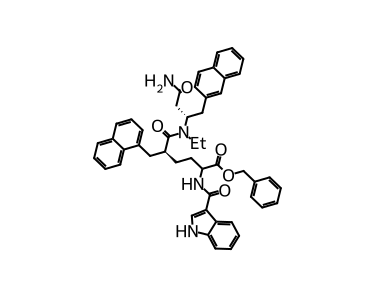 CCN(C(=O)[C@@H](CCC(NC(=O)c1c[nH]c2ccccc12)C(=O)OCc1ccccc1)Cc1cccc2ccccc12)[C@H](CC(N)=O)Cc1ccc2ccccc2c1